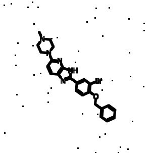 CN1CCN(c2ccc3nc(-c4ccc(OCc5ccccc5)c(Br)c4)[nH]c3n2)CC1